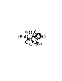 CCOC(=O)c1cc(Cl)cnc1CN(C(=O)OC(C)(C)C)C(=O)OC(C)(C)C